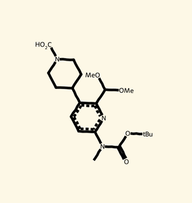 COC(OC)c1nc(N(C)C(=O)OC(C)(C)C)ccc1C1CCN(C(=O)O)CC1